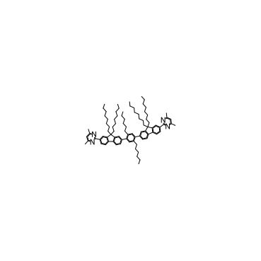 CCCCCCCCC1(CCCCCCCC)c2cc(-c3nc(C)cc(C)n3)ccc2-c2ccc(-c3cc(CCCCCC)c(-c4ccc5c(c4)C(CCCCCCCC)(CCCCCCCC)c4cc(-c6nc(C)cc(C)n6)ccc4-5)cc3CCCCCC)cc21